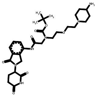 CC(C)(C)OC(=O)N(CCOCCN1CCC(N)CC1)CC(=O)Nc1cccc2c1CN(C1CCC(=O)NC1=O)C2=O